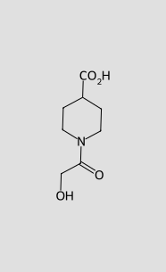 O=C(O)C1CCN(C(=O)CO)CC1